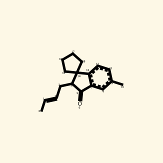 C/C=C/CC1C(=O)c2cc(C)ccc2C12CCCC2